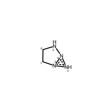 C1Cn2[nH]n2N1